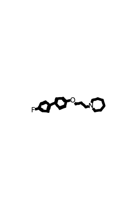 Fc1ccc(-c2ccc(OCCCN3CCCCCC3)cc2)cc1